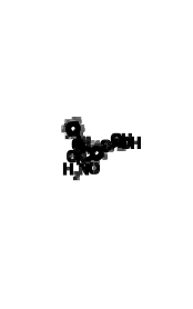 NC(=O)[C@H]1c2ccc(OCC(O)CO)cc2[C@H]2CN1C(=O)N2OCc1ccccc1